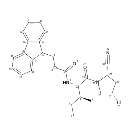 CC[C@H](C)[C@H](NC(=O)OCC1c2ccccc2-c2ccccc21)C(=O)N1C[C@@H](Cl)C[C@H]1C#N